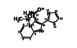 CN(C)[N+]12C=C[C]=CC1=NC(c1nccs1)=C2C(N)=O